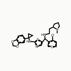 CN1CCCC1CCNC(c1cnc(NC2(c3ccc4c(c3)OCO4)CC2)s1)c1ccccc1Cl